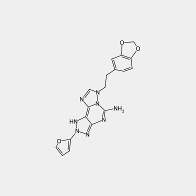 NC1=NC2=NN(c3ccco3)NC2=C2N=CN(CCc3ccc4c(c3)OCO4)N12